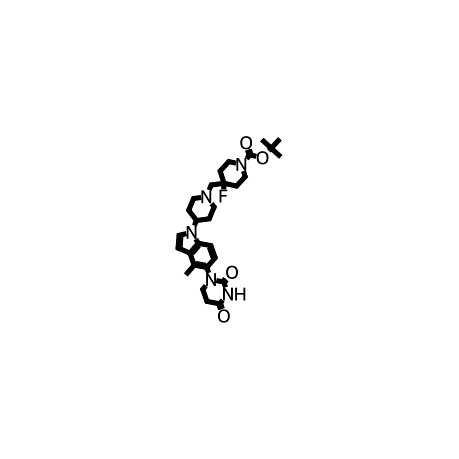 Cc1c(N2CCC(=O)NC2=O)ccc2c1ccn2C1CCN(CC2(F)CCN(C(=O)OC(C)(C)C)CC2)CC1